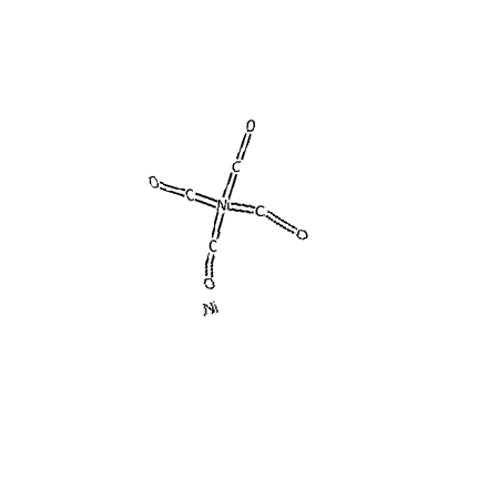 O=[C]=[Ni](=[C]=O)(=[C]=O)=[C]=O.[Ni]